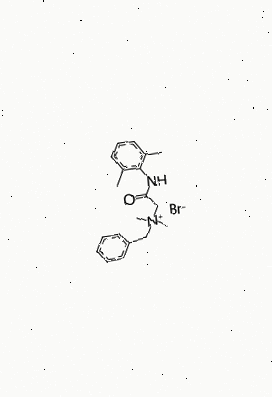 Cc1cccc(C)c1NC(=O)C[N+](C)(C)Cc1ccccc1.[Br-]